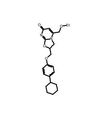 CCOCc1cc(=O)nc2n1CC(COc1ccc(C3CCCCC3)cc1)O2